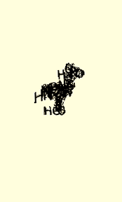 C[C@H]1COCCN1C(=O)[C@H]1CCc2c(sc3ncnc(Nc4cc5cn[nH]c5cc4OC4CN(C(=O)O)C4)c23)C1